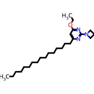 CCCCCCCCCCCCCCCCc1cc(OCC)nc(N2CCC2)n1